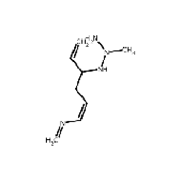 C=CC(C/C=C\N=C)NN(C)N